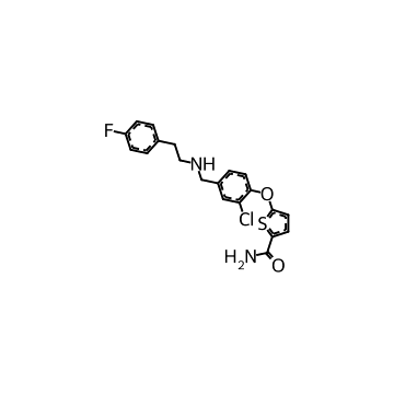 NC(=O)c1ccc(Oc2ccc(CNCCc3ccc(F)cc3)cc2Cl)s1